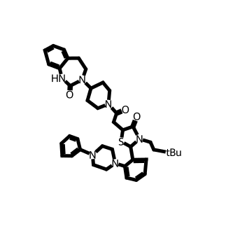 CC(C)(C)CCN1C(=O)C(CC(=O)N2CCC(N3CCc4ccccc4NC3=O)CC2)SC1c1ccccc1N1CCN(c2ccccc2)CC1